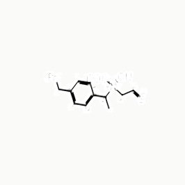 CC(C)Cc1ccc(C(C)[N+](O)(CC=S)C(=O)[O-])cc1